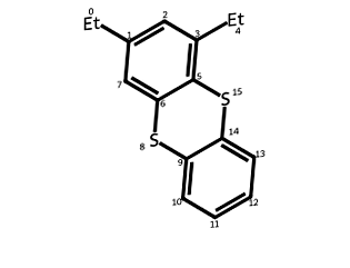 CCc1cc(CC)c2c(c1)Sc1ccccc1S2